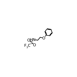 O=S(=O)(NCCOc1ccccc1)C(F)(F)F